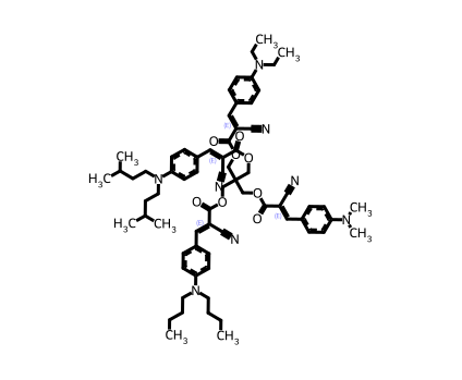 CCCCN(CCCC)c1ccc(/C=C(\C#N)C(=O)OCC(COC(=O)/C(C#N)=C/c2ccc(N(C)C)cc2)(COC(=O)/C(C#N)=C/c2ccc(N(CC)CC)cc2)COC(=O)/C(C#N)=C/c2ccc(N(CCC(C)C)CCC(C)C)cc2)cc1